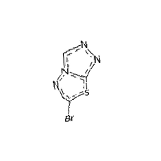 Brc1nn2cnnc2s1